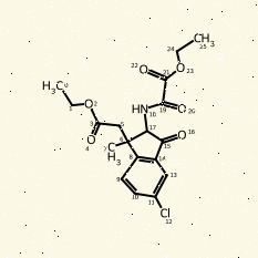 CCOC(=O)CC1(C)c2ccc(Cl)cc2C(=O)C1NC(=O)C(=O)OCC